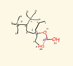 CC[Si](CC)(CC([Si](C)(C)C)[Si](C)(C)C)OP(O)O